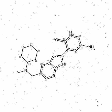 CN(Cc1ccc2[nH]c(-c3cc(N)c[nH]c3=O)cc2c1)C1CCCCC1